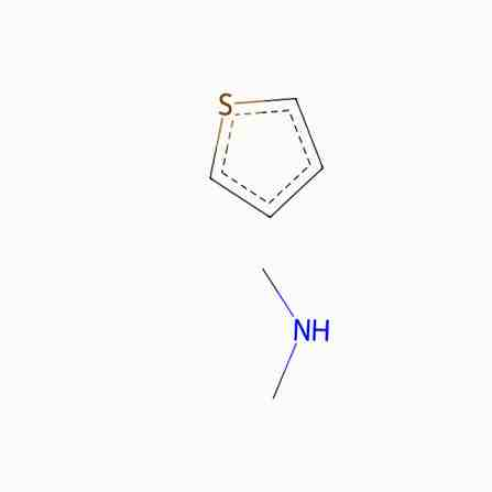 CNC.c1ccsc1